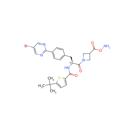 CC(C)(C)c1ccc(C(=O)N[C@@H](Cc2ccc(-c3ncc(Br)cn3)cc2)C(=O)N2CC(C(=O)ON)C2)s1